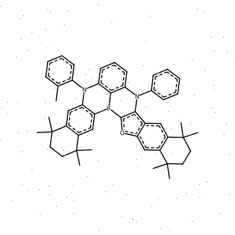 Cc1ccccc1N1c2cc3c(cc2B2c4oc5cc6c(cc5c4N(c4ccccc4)c4cccc1c42)C(C)(C)CCC6(C)C)C(C)(C)CCC3(C)C